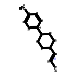 CCCc1ccc(C2CCC(/C=C/F)CC2)cc1